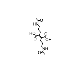 CC(=O)NCCC/C(C(=O)O)=C(/CCCNC(C)=O)C(=O)O